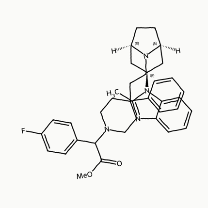 COC(=O)C(c1ccc(F)cc1)N1CCC(CCN2[C@@H]3CC[C@H]2C[C@@H](n2c(C)nc4ccccc42)C3)(c2ccccc2)CC1